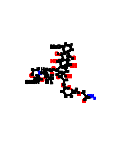 COc1cccc2c1C(=O)c1c(O)c3c(c(O)c1C2=O)C[C@@](O)(C(=O)COC1CCCC(COCC(N)=O)O1)C[C@@H]3O[C@H]1C[C@H]2[C@H](O[C@@H]3[C@@H](OC)OCCN32)[C@H](C)O1